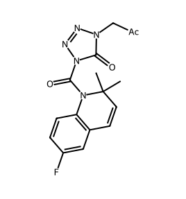 CC(=O)Cn1nnn(C(=O)N2c3ccc(F)cc3C=CC2(C)C)c1=O